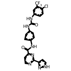 O=C(Nc1ccc(NC(=O)c2ccnc(-c3cc[nH]n3)n2)cc1)Nc1ccc(Cl)c(C(F)(F)F)c1